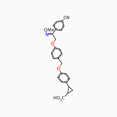 CON=C(COc1ccc(COc2ccc(C3CC3C(=O)O)cc2)cc1)c1ccc(C#N)cc1